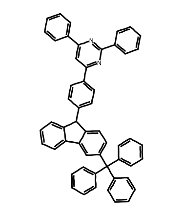 c1ccc(-c2cc(-c3ccc(C4c5ccccc5-c5cc(C(c6ccccc6)(c6ccccc6)c6ccccc6)ccc54)cc3)nc(-c3ccccc3)n2)cc1